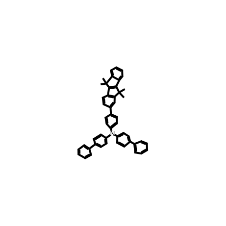 CC1(C)C2=C(c3ccccc31)C(C)(C)c1cc(-c3ccc(N(c4ccc(-c5ccccc5)cc4)c4ccc(-c5ccccc5)cc4)cc3)ccc12